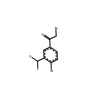 O=C(CBr)c1ccc(Br)c(C(F)F)c1